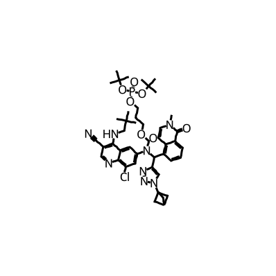 Cn1ccc2c(C(c3cn(C45CC(C4)C5)nn3)N(C(=O)OCCCOP(=O)(OC(C)(C)C)OC(C)(C)C)c3cc(Cl)c4ncc(C#N)c(NCC(C)(C)C)c4c3)cccc2c1=O